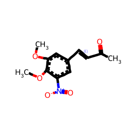 COc1cc(/C=C/C(C)=O)cc([N+](=O)[O-])c1OC